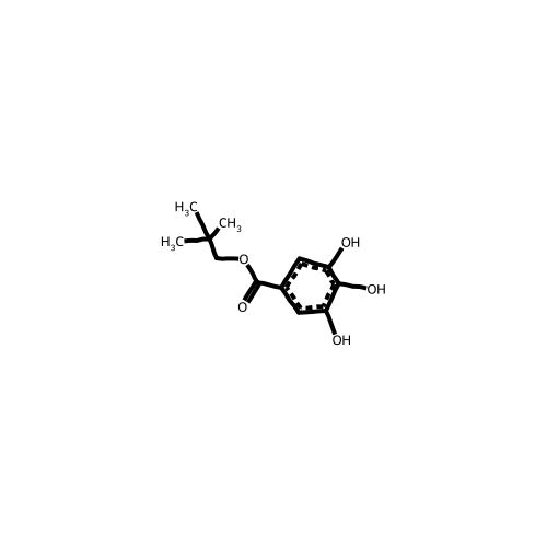 CC(C)(C)COC(=O)c1cc(O)c(O)c(O)c1